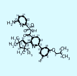 CC(C)COc1cc(F)cc(-c2ccc(C(=O)NS(=O)(=O)c3cccc(N)n3)c(C3=CC(C)(C)CC3(C)C)n2)c1